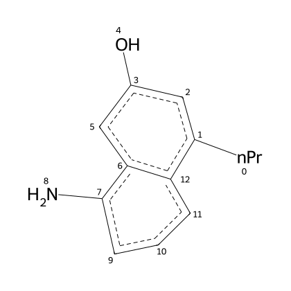 CCCc1cc(O)cc2c(N)cccc12